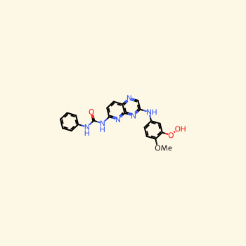 COc1ccc(Nc2cnc3ccc(NC(=O)Nc4ccccc4)nc3n2)cc1OO